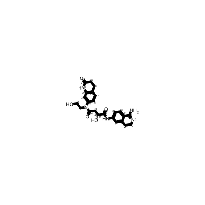 Nc1nccc2cc(NC(=O)[C@H](O)CC(=O)N(CCO)c3ccc4c(c3)NC(=O)CC4)ccc12